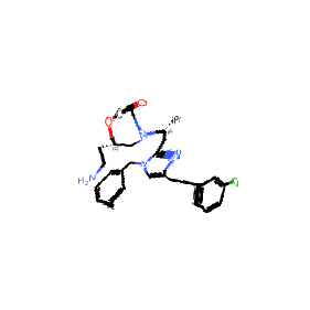 CC(C)[C@H](c1nc(-c2cccc(Cl)c2)cn1Cc1ccccc1)N1C[C@H](CCN)OCC1=O